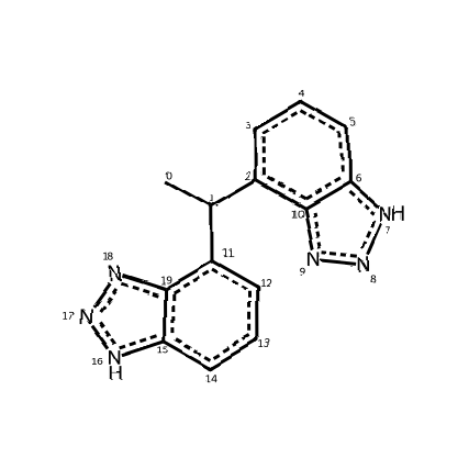 C[C](c1cccc2[nH]nnc12)c1cccc2[nH]nnc12